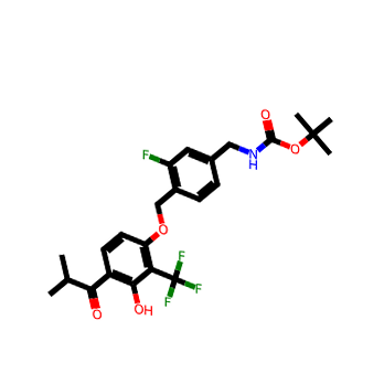 CC(C)C(=O)c1ccc(OCc2ccc(CNC(=O)OC(C)(C)C)cc2F)c(C(F)(F)F)c1O